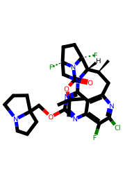 C[C@H]1Cc2nc(Cl)c(F)c3nc(OCC45CCCN4CCC5)nc(c23)N2C[C@@]3(F)CC[C@@](F)([C@H]12)N3C(=O)OC(C)(C)C